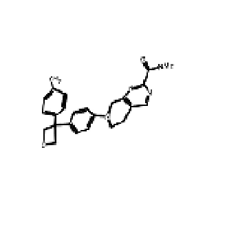 CNC(=O)c1ncc2c(n1)CN(c1ccc(C3(c4ccc(C)cc4)COC3)cc1)CC2